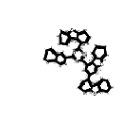 c1ccc2cc(-c3nc(-c4cc(-c5cccc6sc7ccccc7c56)cc5oc6ccccc6c45)nc(-c4cccc5sc6ccccc6c45)n3)ccc2c1